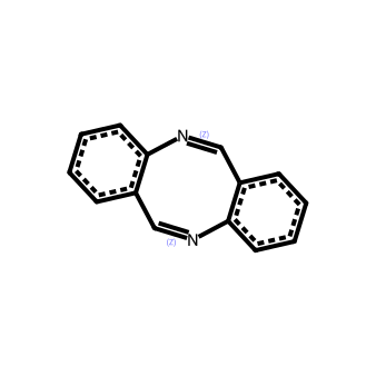 C1=N\c2ccccc2/C=N\c2ccccc2/1